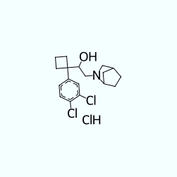 Cl.OC(CN1CC2CCC1C2)C1(c2ccc(Cl)c(Cl)c2)CCC1